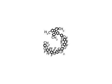 Cc1ccc(Oc2c(F)c(F)c(-c3c(F)c(F)c(Oc4ccc(C(c5ccc(Oc6c(F)c(F)c(-c7c(F)c(F)c(Oc8ccc(-c9ccc(C%10(c%11ccc(C)cc%11)c%11cc(C)ccc%11-c%11ccc(C)cc%11%10)cc9)cc8)c(F)c7F)c(F)c6F)cc5)(C(F)(F)F)C(F)(F)F)cc4)c(F)c3F)c(F)c2F)cc1